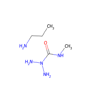 CCCN.CNC(=O)N(N)N